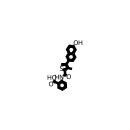 Cc1c(-c2ccc3cc(O)ccc3c2)csc1C(=O)Nc1ccccc1C(=O)O